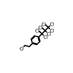 [O]CCc1ccc(C(Cl)(Cl)C(Cl)(Cl)C(Cl)(Cl)Cl)cc1